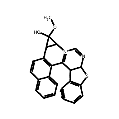 COC1(O)C2c3ccc4ccccc4c3C3=[N+](C=NC4Sc5ccc6ccccc6c5C34)C21